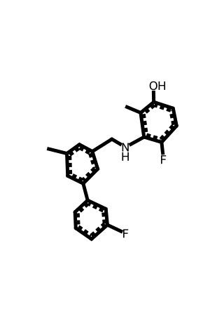 Cc1cc(CNc2c(F)ccc(O)c2C)cc(-c2cccc(F)c2)c1